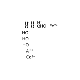 [Al+3].[Co+2].[Fe+2].[OH-].[OH-].[OH-].[OH-].[OH-].[OH-].[OH-]